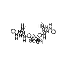 CCNc1nc(Nc2ccccc2)nc(Nc2ccc(C=Cc3ccc(Nc4nc(NCC)nc(Nc5ccccc5)n4)cc3S(=O)(=O)O)c(S(=O)(=O)O)c2)n1